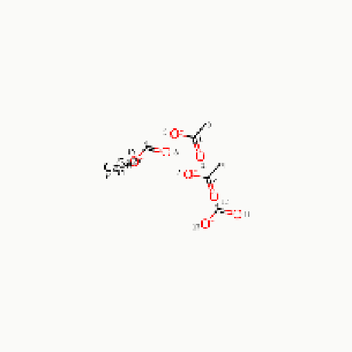 CC(=O)[O-].CC(=O)[O-].O=C[O-].O=C[O-].[Ca+2].[Ca+2]